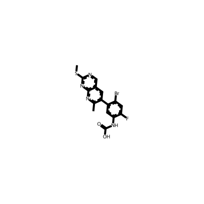 CSc1ncc2cc(-c3cc(NC(=O)O)c(F)cc3Br)c(C)nc2n1